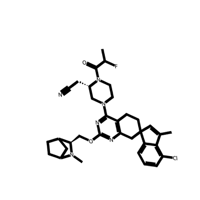 CC1=CC2(CCc3c(nc(OC[C@@H]4C5CCC(C5)N4C)nc3N3CCN(C(=O)C(C)F)[C@@H](CC#N)C3)C2)c2cccc(Cl)c21